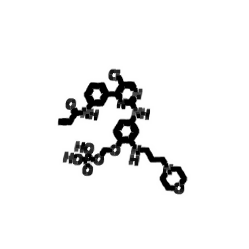 C=CC(=O)Nc1cccc(-c2nc(Nc3ccc(OCOP(=O)(O)O)c(NCCCN4CCOCC4)c3)ncc2Cl)c1